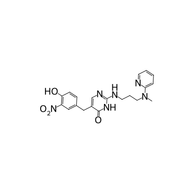 CN(CCCNc1ncc(Cc2ccc(O)c([N+](=O)[O-])c2)c(=O)[nH]1)c1ccccn1